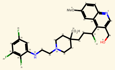 COc1ccc2ncc(CO)c(C(F)CCC3(C(=O)O)CCN(CCNc4cc(F)cc(F)c4F)CC3)c2c1